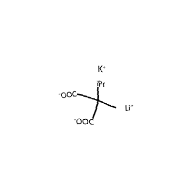 CC(C)C(C)(C(=O)[O-])C(=O)[O-].[K+].[Li+]